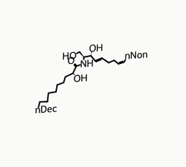 CCCCCCCCC/C=C\CC/C=C/[C@@H](O)[C@H](CO)NC(=O)[C@H](O)CCCCCCCCCCCCCCCCC